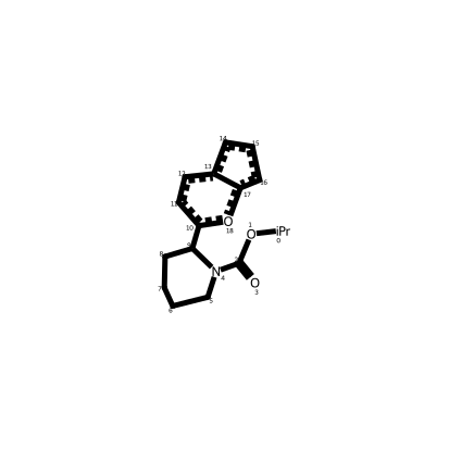 CC(C)OC(=O)N1CCCCC1c1ccc2cccc-2o1